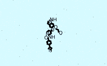 CNn1ccc2cc(Oc3ccnc(NC(=O)c4ccc(C5CN(C)C5)cc4)c3)c(OCCCOC)cc21